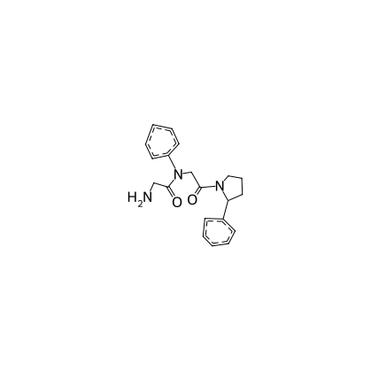 NCC(=O)N(CC(=O)N1CCCC1c1ccccc1)c1ccccc1